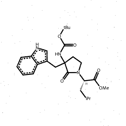 COC(=O)[C@H](CC(C)C)N1CCC(Cc2c[nH]c3ccccc23)(NC(=O)OC(C)(C)C)C1=O